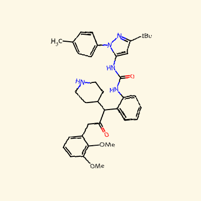 COc1cccc(CC(=O)C(c2ccccc2NC(=O)Nc2cc(C(C)(C)C)nn2-c2ccc(C)cc2)C2CCNCC2)c1OC